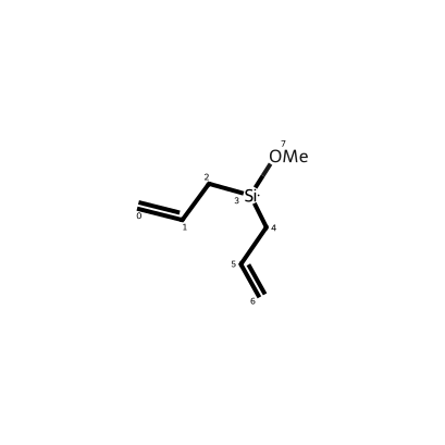 C=CC[Si](CC=C)OC